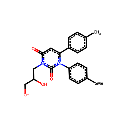 CSc1ccc(-n2c(-c3ccc(C)cc3)cc(=O)n(CC(O)CO)c2=O)cc1